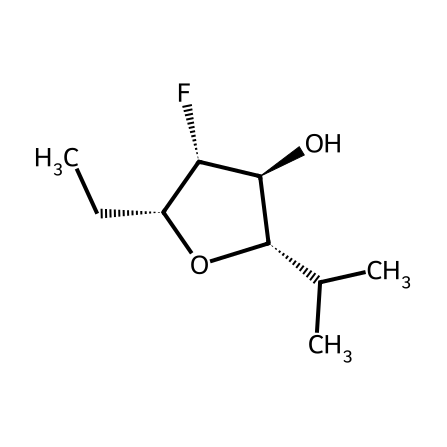 CC[C@H]1O[C@@H](C(C)C)[C@H](O)[C@H]1F